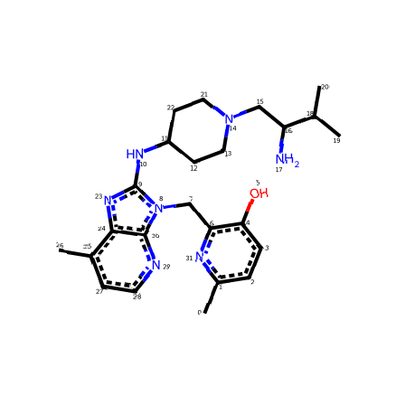 Cc1ccc(O)c(Cn2c(NC3CCN(CC(N)C(C)C)CC3)nc3c(C)ccnc32)n1